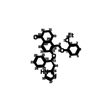 CCOc1ccccc1OCc1c(O[C@@H](Cc2ncc[nH]2)c2ccccc2)ccc2c1CCCC2=O